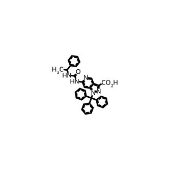 CC(NC(=O)Nc1cc2c(cn1)c(C(=O)O)nn2C(c1ccccc1)(c1ccccc1)c1ccccc1)c1ccccc1